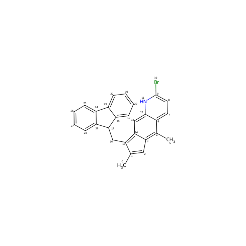 Cc1cc2c(C)c3ccc(Br)[nH]c3cc2c1CC1c2ccccc2-c2ccccc21